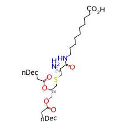 CCCCCCCCCCCC(=O)OC[C@@H](CSC[C@H](N)C(=O)NCCCCCCCCCC(=O)O)OC(=O)CCCCCCCCCCC